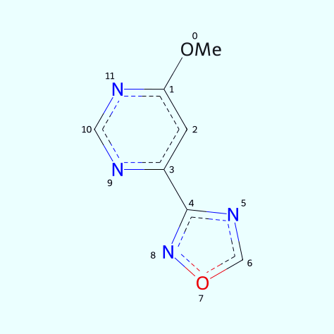 COc1cc(-c2ncon2)ncn1